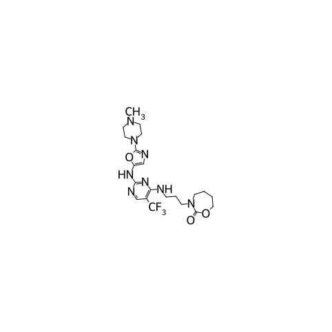 CN1CCN(c2ncc(Nc3ncc(C(F)(F)F)c(NCCCN4CCCCOC4=O)n3)o2)CC1